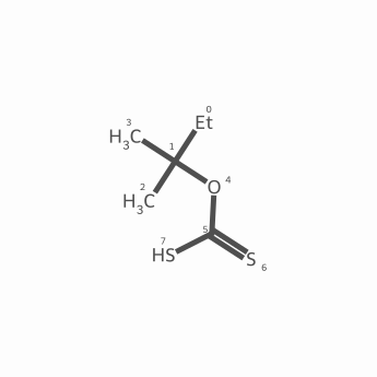 CCC(C)(C)OC(=S)S